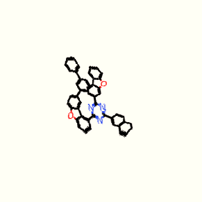 C1=Cc2cc(-c3nc(-c4ccc5c(c4)oc4ccccc45)nc(-c4cccc5oc6ccc(-c7cccc(-c8ccccc8)c7)cc6c45)n3)ccc2CC1